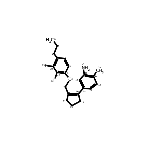 CCCc1ccc(OCC2=C(c3ccc(C)c(N)c3)CCC2)c(F)c1F